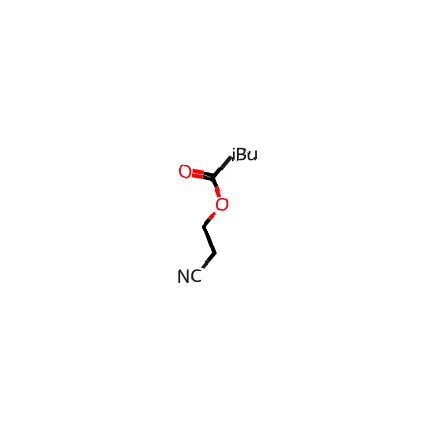 CCC(C)C(=O)OCCC#N